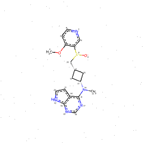 COc1ccncc1[S+]([O-])C[C@H]1C[C@@H](N(C)c2ncnc3[nH]ccc23)C1